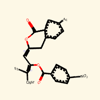 CC/C(OC)=C(\C=C1/Cc2ccc(C(C)=O)cc2C(=O)O1)OC(=O)c1ccc([N+](=O)[O-])cc1